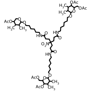 CC(=O)OCC1OC(OCCCCCCNC(=O)CCC(CCC(=O)NCCCCCCOC2OCC(OC(C)=O)C(C)C2C)(CCC(=O)NCCCCCCOC2OC(COC(C)=O)C(OC(C)=O)C(C)C2C)[N+](=O)[O-])C(C)C(C)C1OC(C)=O